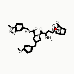 COc1ccc(CC2CC(C(=O)NCc3ccc4c(c3)nnn4C)N(C(=O)C(N)CCC(=O)N3C4CCC3C(=O)NC4)C2)cc1